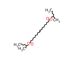 CCCCC(CC)COC(=O)CCCCCCCC=CCCCCCCCC(=O)OCC(CC)CCCC